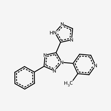 Cc1cnccc1-n1nc(-c2ccccc2)nc1-c1ncn[nH]1